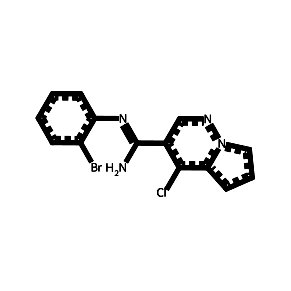 N/C(=N\c1ccccc1Br)c1cnn2cccc2c1Cl